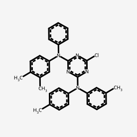 Cc1ccc(N(c2cccc(C)c2)c2nc(Cl)nc(N(c3ccccc3)c3ccc(C)c(C)c3)n2)cc1